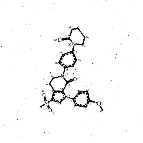 COc1ccc(-n2nc(S(C)(=O)=O)c3c2C(=O)N(c2ccc(N4CCCCC4=O)cc2)CC3)cc1